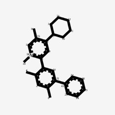 Cc1cc(C)c(-c2cc(C3CCCCC3)c(C)c[n+]2C)cc1-c1ccccc1